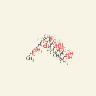 C=C(C)C(=O)O.CCCCC(O)CO.CCCCC(O)CO.CCCCC(O)CO.CCCCC(O)CO.CCCCC(O)CO.CCCCC(O)CO.CCCCC(O)CO.CCCCC(O)CO